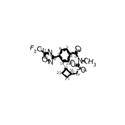 CN(C(=O)c1ccc(-c2noc(C(F)(F)F)n2)cc1)S(=O)(=O)CC1CCC1